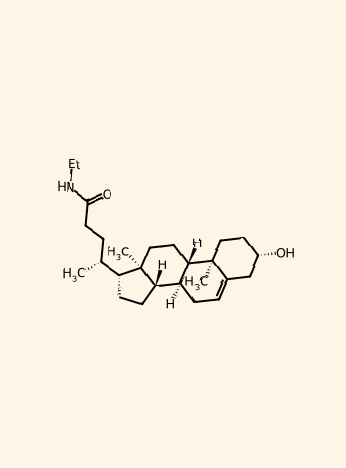 CCNC(=O)CC[C@@H](C)[C@H]1CC[C@H]2[C@@H]3CC=C4C[C@@H](O)CC[C@]4(C)[C@H]3CC[C@]12C